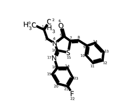 CC(C)CN1C(=O)/C(=C/c2ccccc2)S/C1=N\c1ccc(F)cc1